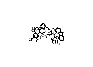 COC(=O)N(c1cccc2c1-c1ccccc1C2)C(CCSC)C(=O)OCc1ccccc1OCC(C(=O)O)c1cc(Cl)c(Cl)cc1Cl